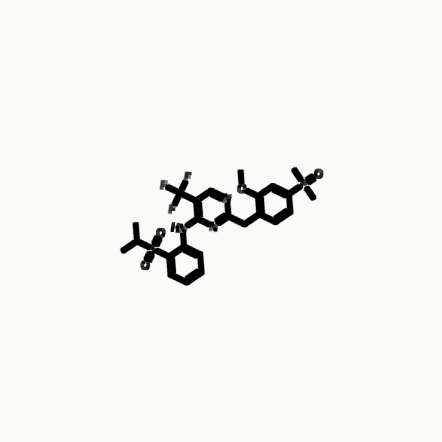 COc1cc(P(C)(C)=O)ccc1Cc1ncc(C(F)(F)F)c(Nc2ccccc2S(=O)(=O)C(C)C)n1